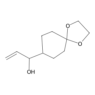 C=CC(O)C1CCC2(CC1)OCCO2